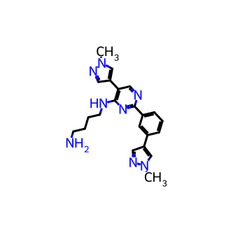 Cn1cc(-c2cccc(-c3ncc(-c4cnn(C)c4)c(NCCCCN)n3)c2)cn1